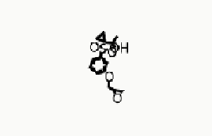 CC(O)C1(S(=O)(=O)c2cccc(OCC3CO3)c2)CC1